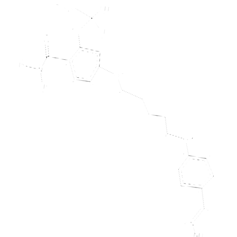 CCOC(=O)C(C)(C)Oc1cc(OCCCCCOc2ccc(C=NN)cc2)ccc1C(=O)N(C(C)C)C(C)C